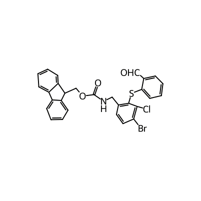 O=Cc1ccccc1Sc1c(CNC(=O)OCC2c3ccccc3-c3ccccc32)ccc(Br)c1Cl